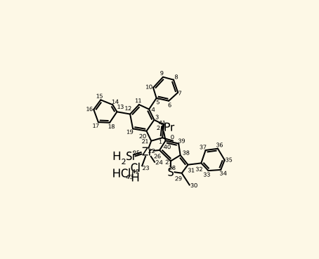 CC1=Cc2c(-c3ccccc3)cc(-c3ccccc3)cc2[CH]1[Zr]([CH3])([CH3])(=[SiH2])[C]1=C2SC(C)C(c3ccccc3)=C2C=C1C(C)C.Cl.Cl